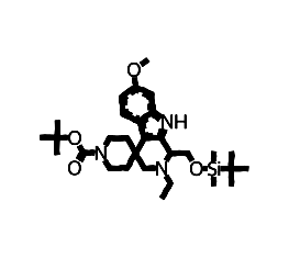 CCN1CC2(CCN(C(=O)OC(C)(C)C)CC2)c2c([nH]c3cc(OC)ccc23)C1CO[Si](C)(C)C(C)(C)C